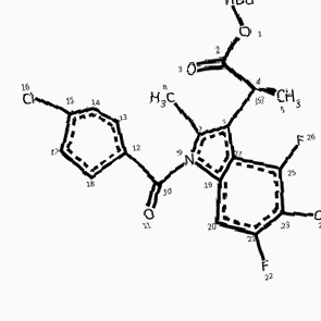 CCCCOC(=O)[C@@H](C)c1c(C)n(C(=O)c2ccc(Cl)cc2)c2cc(F)c(O)c(F)c12